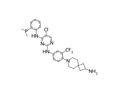 CP(C)c1ccccc1Nc1nc(Nc2ccc(N3CCC4(CC3)CC(N)C4)c(C(F)(F)F)c2)ncc1Cl